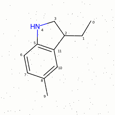 CCC1CNc2ccc(C)cc21